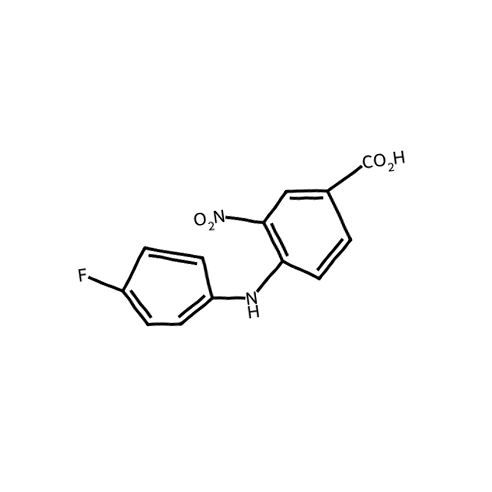 O=C(O)c1ccc(Nc2ccc(F)cc2)c([N+](=O)[O-])c1